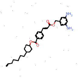 C=CCCCCCC1CCC(OC(=O)c2ccc(/C=C/C(=O)OCc3cc(N)cc(N)c3)cc2)CC1